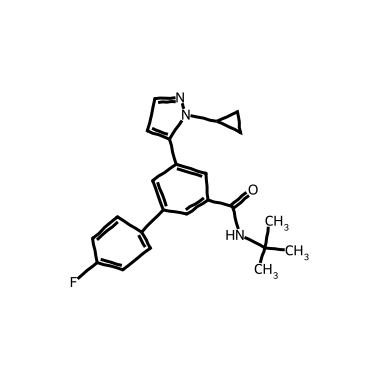 CC(C)(C)NC(=O)c1cc(-c2ccc(F)cc2)cc(-c2ccnn2C2CC2)c1